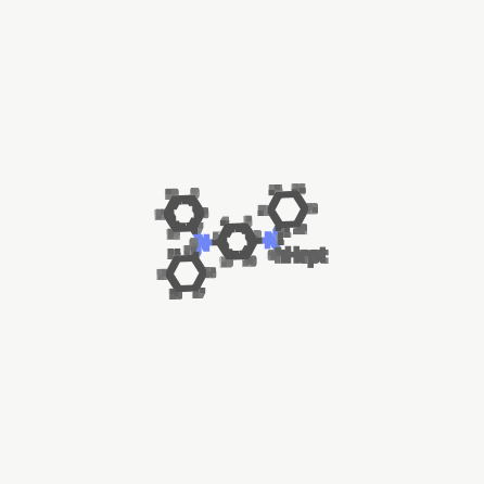 CCCCCCCN(c1ccc(N(c2ccccc2)C2CCCCC2)cc1)C1CCCCC1